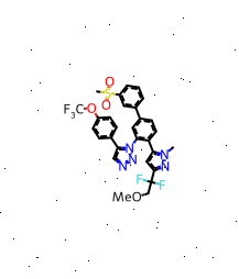 COCC(F)(F)c1cc(-c2ccc(-c3cccc(S(C)(=O)=O)c3)cc2-n2nncc2-c2ccc(OC(F)(F)F)cc2)n(C)n1